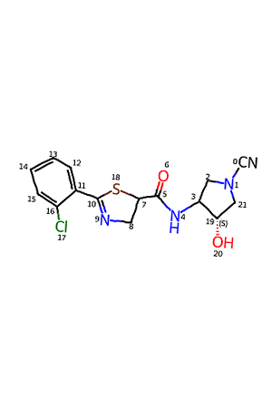 N#CN1CC(NC(=O)C2CN=C(c3ccccc3Cl)S2)[C@@H](O)C1